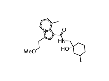 COCCc1cc(C(=O)NC[C@@]2(O)CCC[C@@H](C)C2)c2c(C)cccn12